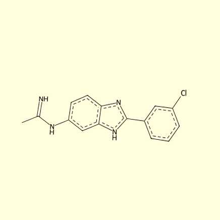 CC(=N)Nc1ccc2nc(-c3cccc(Cl)c3)[nH]c2c1